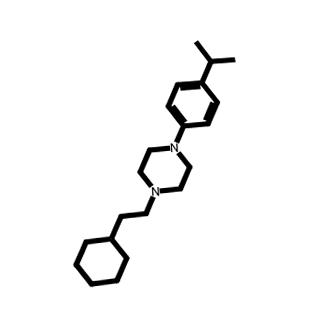 CC(C)c1ccc(N2CCN(CCC3CCCCC3)CC2)cc1